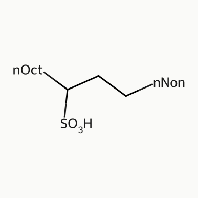 CCCCCCCCCCCC(CCCCCCCC)S(=O)(=O)O